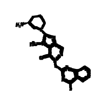 CCCCn1c(N2CCC[C@@H](N)C2)nc2cnn(Cc3nc(C)c4ccccc4n3)c(=O)c21